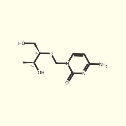 C[C@H](O)[C@@H](CO)OCn1ccc(N)nc1=O